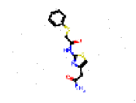 NC(=O)Cc1csc(NC(=O)CSc2ccccc2)n1